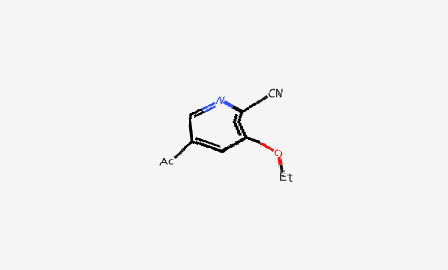 CCOc1cc(C(C)=O)cnc1C#N